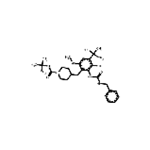 COc1cc(C(C)(C)C)c(O)c(NC(=O)NCc2ccccc2)c1CC1CCN(C(=O)OC(C)(C)C)CC1